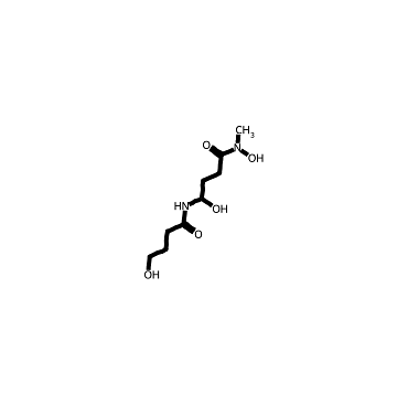 CN(O)C(=O)CCC(O)NC(=O)CCCO